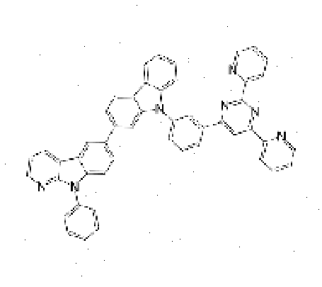 c1ccc(-n2c3ccc(-c4ccc5c6ccccc6n(-c6cccc(-c7cc(-c8ccccn8)nc(-c8ccccn8)n7)c6)c5c4)cc3c3cccnc32)cc1